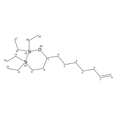 C=CCCCCCC1CC[Si](CC)(CC)[Si](CC)(CC)O1